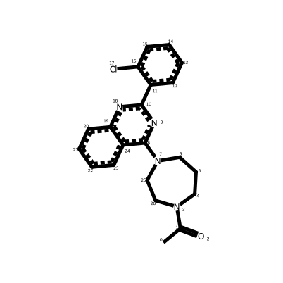 CC(=O)N1CCCN(c2nc(-c3ccccc3Cl)nc3ccccc23)CC1